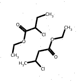 CCOC(=O)C(Cl)CC.CCOC(=O)CC(C)Cl